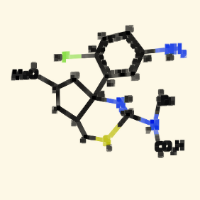 COC1CC2CSC(N(C(=O)O)C(C)(C)C)=NC2(c2cc(N)ccc2F)C1